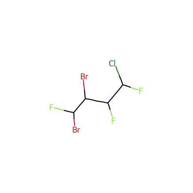 FC(Cl)C(F)C(Br)C(F)Br